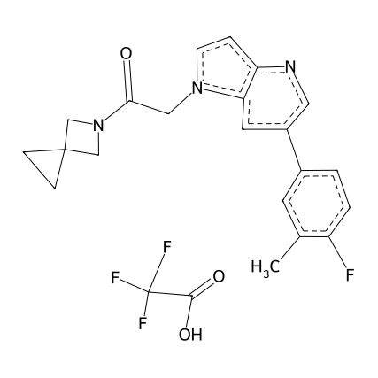 Cc1cc(-c2cnc3ccn(CC(=O)N4CC5(CC5)C4)c3c2)ccc1F.O=C(O)C(F)(F)F